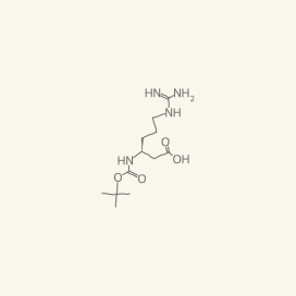 CC(C)(C)OC(=O)N[C@@H](CCCNC(=N)N)CC(=O)O